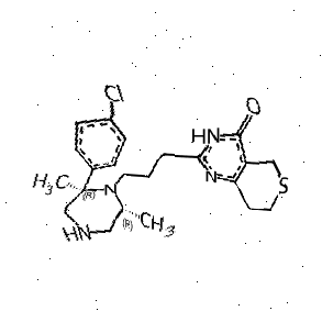 C[C@@H]1CNC[C@@](C)(c2ccc(Cl)cc2)N1CCCc1nc2c(c(=O)[nH]1)CSCC2